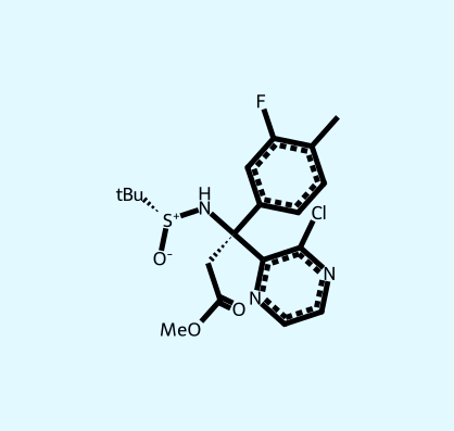 COC(=O)C[C@](N[S@+]([O-])C(C)(C)C)(c1ccc(C)c(F)c1)c1nccnc1Cl